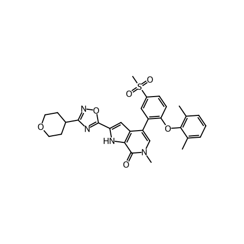 Cc1cccc(C)c1Oc1ccc(S(C)(=O)=O)cc1-c1cn(C)c(=O)c2[nH]c(-c3nc(C4CCOCC4)no3)cc12